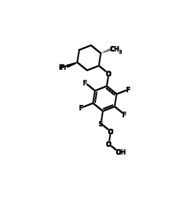 CC(C)[C@H]1CC[C@H](C)C(Oc2c(F)c(F)c(SOOO)c(F)c2F)C1